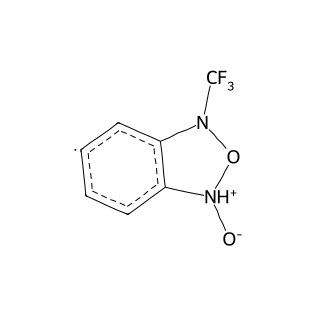 [O-][NH+]1ON(C(F)(F)F)c2c[c]ccc21